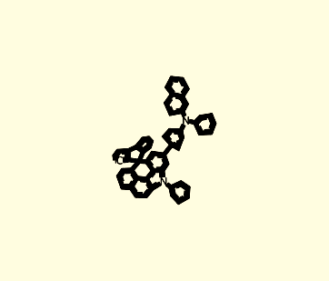 c1ccc(N(c2ccc(-c3cc4c5c6c7c(cccc7ccc6n(-c6ccccc6)c5c3)C43c4ccccc4-c4ccccc43)cc2)c2ccc3ccccc3c2)cc1